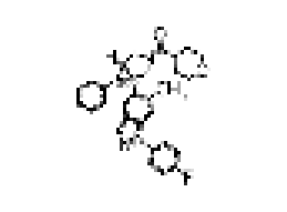 Cc1cc2c(cnn2-c2ccc(F)cc2)cc1[C@]12CN(C(=O)C3CCOCC3)C[C@H]1[C@@H]2c1ccccc1